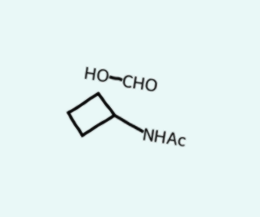 CC(=O)NC1CCC1.O=CO